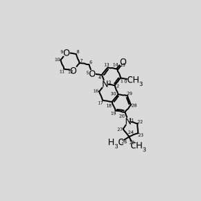 Cc1c2n(c(OCC3COCCO3)cc1=O)CCc1cc(N3CCC(C)(C)C3)ccc1-2